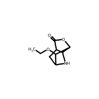 CCOC1C2CC3C(=O)OC1C3N2